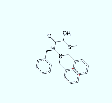 CSC(O)C(=O)[C@H](Cc1ccccc1)N(Cc1ccccc1)Cc1ccccc1